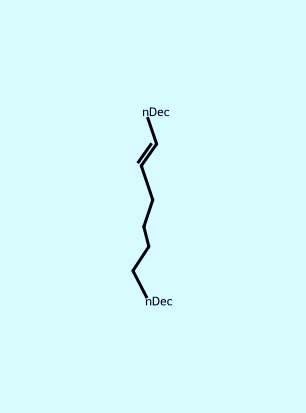 [CH2]CCCCCCCCCC=CCCCCCCCCCCCCC[CH2]